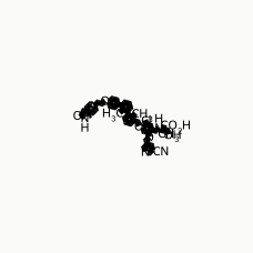 Cc1c(COc2cc(OCc3cncc(C#N)c3)c(CNC(C)(CO)C(=O)O)cc2Cl)cccc1-c1cccc(-c2ccc(OCCN3CCC4(CC3)CNC(=O)C4)cc2)c1C